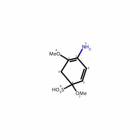 COC1=C(N)C=CC(OC)(S(=O)(=O)O)C1